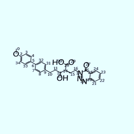 COc1ccc(-c2ccc(CC[C@H](O)[C@H](CCn3nnc4ccccc4c3=O)C(=O)O)cc2)cc1